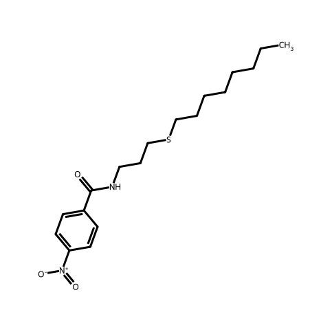 CCCCCCCCSCCCNC(=O)c1ccc([N+](=O)[O-])cc1